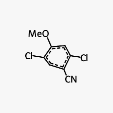 COc1cc(Cl)c(C#N)cc1Cl